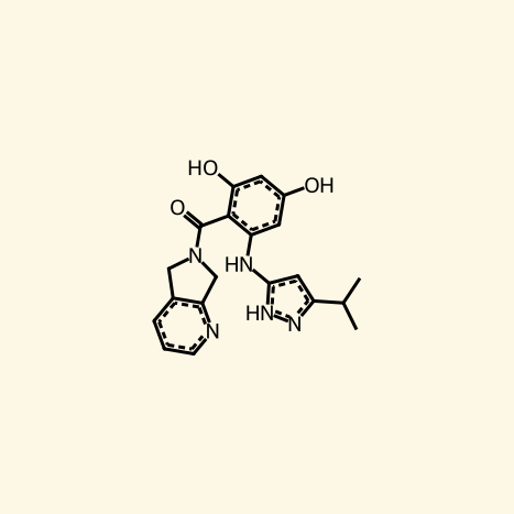 CC(C)c1cc(Nc2cc(O)cc(O)c2C(=O)N2Cc3cccnc3C2)[nH]n1